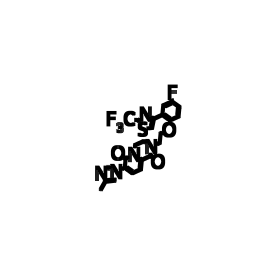 Cc1cn(-c2ccc3n(c2=O)CCN(CCOc2ccc(F)cc2-c2csc(C(F)(F)F)n2)C3=O)cn1